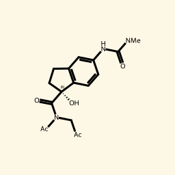 CNC(=O)Nc1ccc2c(c1)CC[C@]2(O)C(=O)N(CC(C)=O)C(C)=O